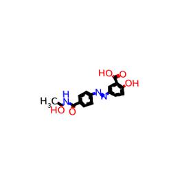 CC(O)NC(=O)c1ccc(/N=N/c2ccc(O)c(C(=O)O)c2)cc1